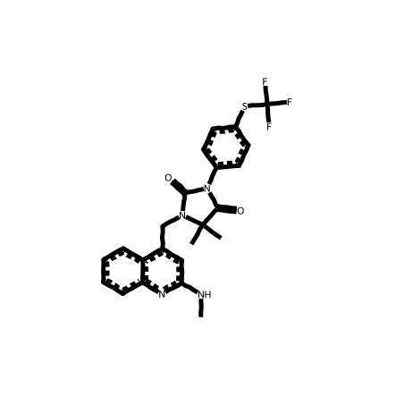 CNc1cc(CN2C(=O)N(c3ccc(SC(F)(F)F)cc3)C(=O)C2(C)C)c2ccccc2n1